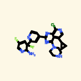 NC1N=CC(F)=CC1(F)c1cc(-c2nc(N3CCNCC3)c3c(C4CC4)cnc(Cl)c3n2)ccn1